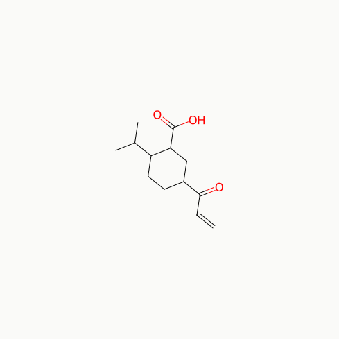 C=CC(=O)C1CCC(C(C)C)C(C(=O)O)C1